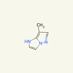 Cc1cnn2cc[nH]c12